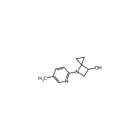 Cc1ccc(N2CC(O)C23CC3)nc1